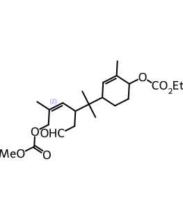 CCOC(=O)OC1CCC(C(C)(C)C(/C=C(/C)COC(=O)OC)CC=O)C=C1C